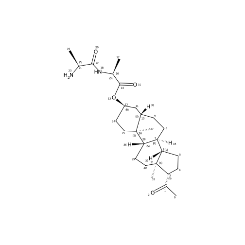 CC(=O)[C@H]1CC[C@H]2[C@@H]3CC[C@H]4C[C@H](OC(=O)[C@H](C)NC(=O)[C@H](C)N)CC[C@]4(C)[C@H]3CC[C@]12C